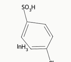 O=S(=O)(O)c1ccc(Cl)cc1.[InH3]